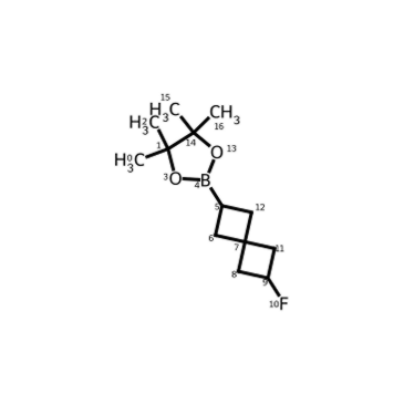 CC1(C)OB(C2CC3(CC(F)C3)C2)OC1(C)C